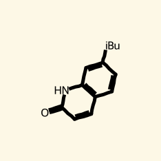 CCC(C)c1ccc2ccc(=O)[nH]c2c1